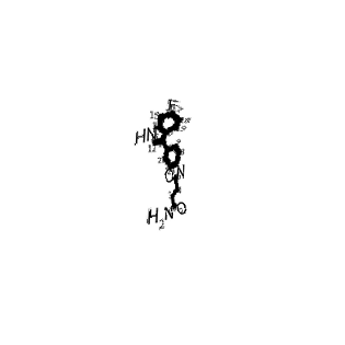 NC(=O)CCc1nc2ccc(-c3c[nH]c4cc(F)ccc34)cc2o1